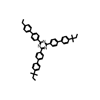 CCc1ccc(-c2ccc(-c3nc(-c4ccc(-c5ccc(C(C)(C)CC)cc5)cc4)nc(-c4ccc(-c5ccc(C(C)(C)CC)cc5)cc4)n3)cc2)cc1